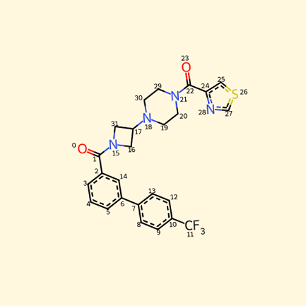 O=C(c1cccc(-c2ccc(C(F)(F)F)cc2)c1)N1CC(N2CCN(C(=O)c3cscn3)CC2)C1